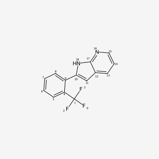 FC(F)(F)c1ccccc1-c1cc2cccnc2[nH]1